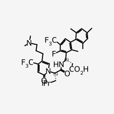 Cc1cc(C)c(-c2cc(C(F)(F)F)c(F)c([C@H](CC(=O)O)NC(=O)[C@H](CC(C)C)n3cc(CCCN(C)C)c(C(F)(F)F)cc3=O)c2C)c(C)c1